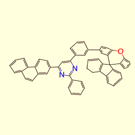 C1=CC2=C(CC1)c1ccccc1C21c2ccccc2Oc2ccc(-c3cccc(-c4cc(-c5ccc6c(ccc7ccccc76)c5)nc(-c5ccccc5)n4)c3)cc21